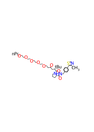 CCCOCCOCCOCCOCCOCCC(=O)C[C@H](C(=O)N1CCC[C@@H]1C(=O)NCc1ccc(-c2scnc2C)cc1)C(C)(C)C